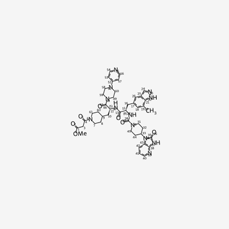 COC(=O)CC(=O)N1CCC(C[C@H](NC(=O)[C@@H](Cc2cc(C)c3[nH]ncc3c2)NC(=O)N2CCC(n3c(=O)[nH]c4ncccc43)CC2)C(=O)N2CCN(c3ccncc3)CC2)CC1